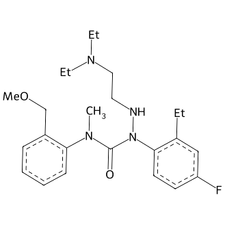 CCc1cc(F)ccc1N(NCCN(CC)CC)C(=O)N(C)c1ccccc1COC